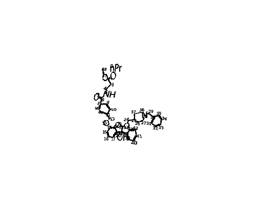 CCCOC(CCNC(=O)c1ccc(COc2cccc([C@](O)(C(=O)OCC3CCN(Cc4ccccc4)CC3)c3ccccc3)c2)cc1)OI